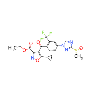 CCOC(=O)c1noc(C2CC2)c1C(=O)c1ccc(-n2cnc([S+](C)[O-])n2)cc1C(F)(F)F